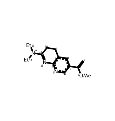 C=C(OC)c1cnc2c(c1)CCC(N(CC)CC)=N2